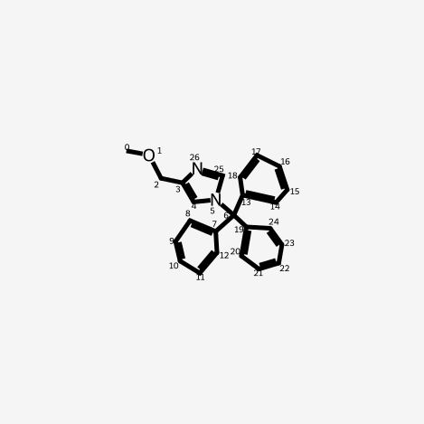 COCc1cn(C(c2ccccc2)(c2ccccc2)c2ccccc2)cn1